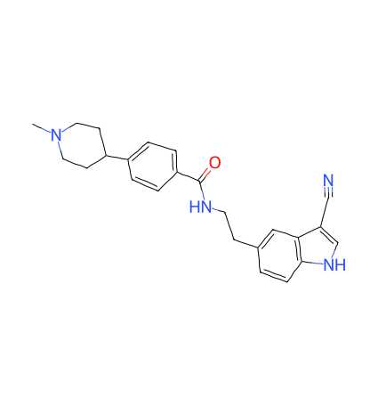 CN1CCC(c2ccc(C(=O)NCCc3ccc4[nH]cc(C#N)c4c3)cc2)CC1